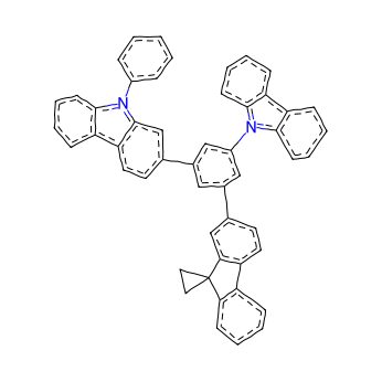 c1ccc(-n2c3ccccc3c3ccc(-c4cc(-c5ccc6c(c5)C5(CC5)c5ccccc5-6)cc(-n5c6ccccc6c6ccccc65)c4)cc32)cc1